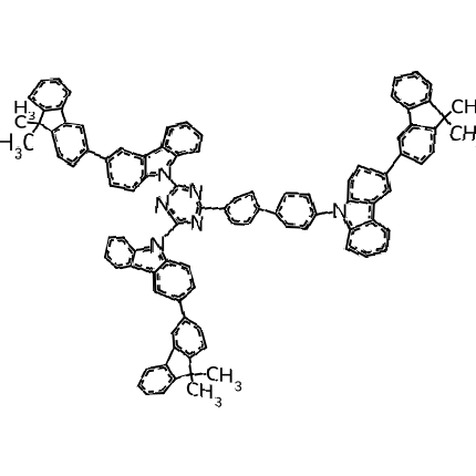 CC1(C)c2ccccc2-c2cc(-c3ccc4c(c3)c3ccccc3n4-c3ccc(-c4ccc(-c5nc(-n6c7ccccc7c7cc(-c8ccc9c(c8)-c8ccccc8C9(C)C)ccc76)nc(-n6c7ccccc7c7cc(-c8ccc9c(c8)-c8ccccc8C9(C)C)ccc76)n5)cc4)cc3)ccc21